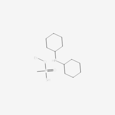 C1CCC(NC2CCCCC2)CC1.CCOP(C)(=O)S